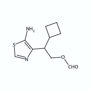 Nc1scnc1C(COC=O)C1CCC1